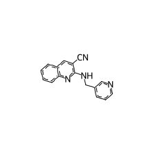 N#Cc1cc2ccccc2nc1NCc1cccnc1